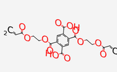 C=CC(=O)OCCOC(=O)c1cc(C(=O)O)c(C(=O)OCCOC(=O)C=C)cc1C(=O)O